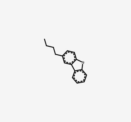 CCCCc1ccc2c(c1)-c1ccccc1[N]2